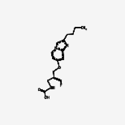 CCCCc1cn2ccc(OCC(=CF)CNC(=O)O)cc2n1